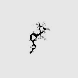 CN1C(=N)N[C@](C)(c2cccc(-c3ccc(C#N)s3)n2)CC1=O